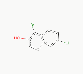 Oc1ccc2cc(Cl)ccc2c1Br